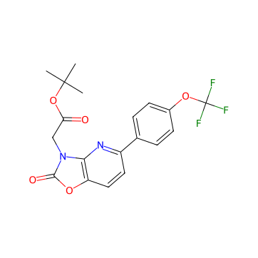 CC(C)(C)OC(=O)Cn1c(=O)oc2ccc(-c3ccc(OC(F)(F)F)cc3)nc21